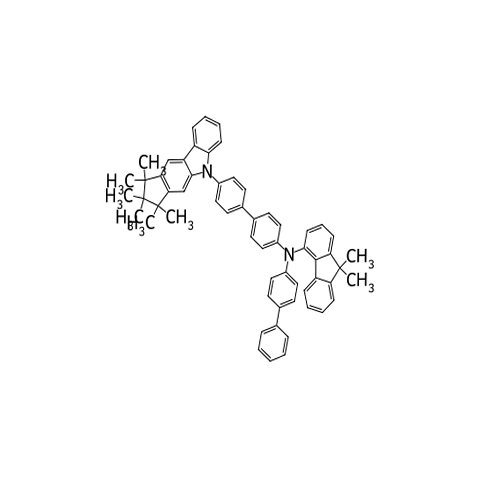 CC1(C)c2ccccc2-c2c(N(c3ccc(-c4ccccc4)cc3)c3ccc(-c4ccc(-n5c6ccccc6c6cc7c(cc65)C(C)(C)C(C)(C)C7(C)C)cc4)cc3)cccc21